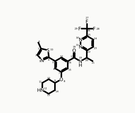 Cc1cnc(-c2cc(OC3CCNCC3)cc(C(=O)NC(C)c3ccc(C(F)(F)F)nn3)c2)s1